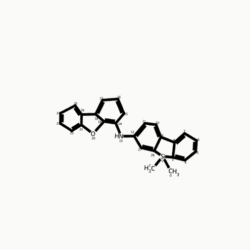 C[Si]1(C)c2ccccc2-c2ccc(Nc3cccc4c3oc3ccccc34)cc21